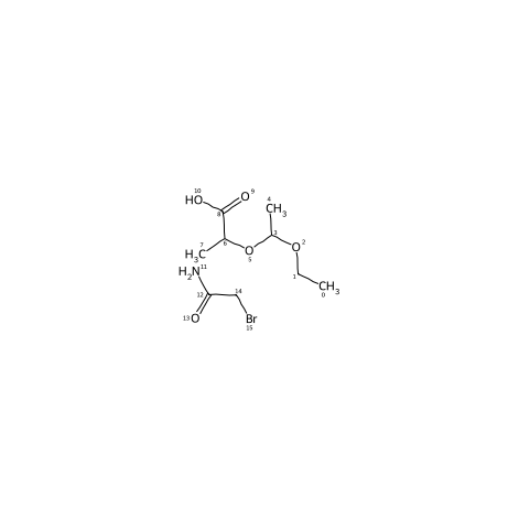 CCOC(C)OC(C)C(=O)O.NC(=O)CBr